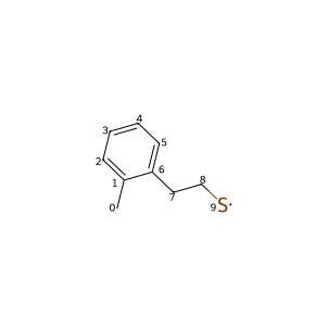 Cc1ccccc1CC[S]